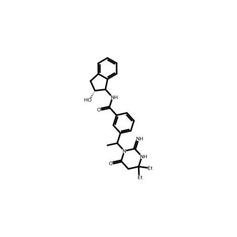 CCC1(CC)CC(=O)N(C(C)c2cccc(C(=O)NC3c4ccccc4C[C@H]3O)c2)C(=N)N1